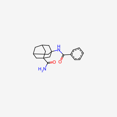 NC(=O)C12CC3CC(CC(NC(=O)c4ccccc4)(C3)C1)C2